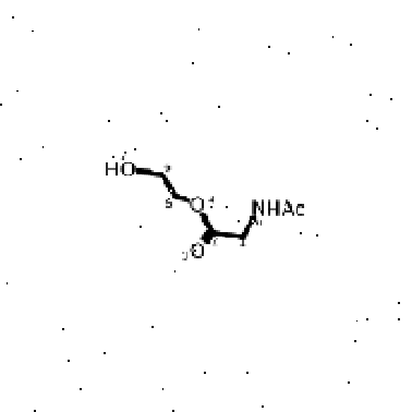 CC(=O)NCC(=O)OCCO